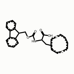 O=C(NC(Cc1ccccccccc1)C(=O)O)OCC1c2ccccc2-c2ccccc21